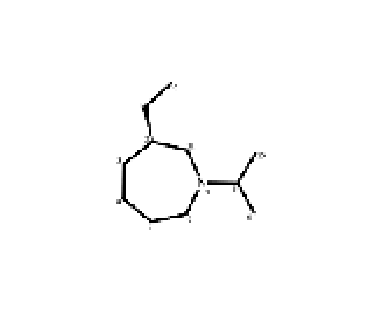 CC[C@@H]1CCCCN(C(C)C)C1